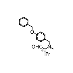 CC(C)[C@@H](C=O)N(C)Cc1ccc(OCc2ccccc2)cc1